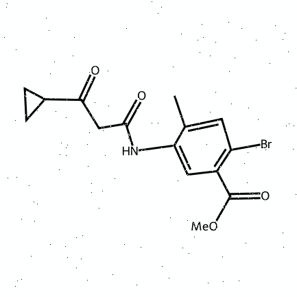 COC(=O)c1cc(NC(=O)CC(=O)C2CC2)c(C)cc1Br